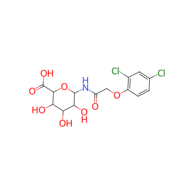 O=C(COc1ccc(Cl)cc1Cl)NC1OC(C(=O)O)C(O)C(O)C1O